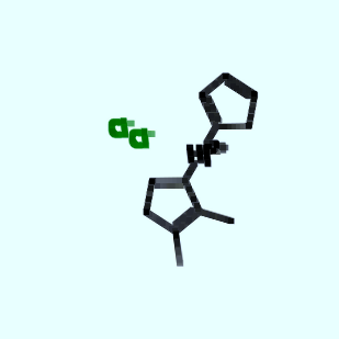 CC1=C(C)[C]([Hf+2][C]2=CC=CC2)=CC1.[Cl-].[Cl-]